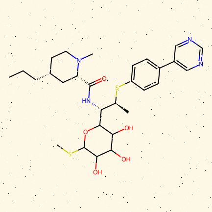 CCC[C@@H]1CCN(C)[C@H](C(=O)N[C@@H](C2OC(SC)C(O)C(O)C2O)[C@H](C)Sc2ccc(-c3cncnc3)cc2)C1